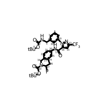 CC(C)(C)OC(=O)NCc1cccc(-n2nc(C(F)(F)F)cc2C(=O)Nc2ccc3c(c2)CC(F)N(C(=O)OC(C)(C)C)C3)c1